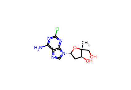 C[C@]1(CO)O[C@@H](n2cnc3c(N)nc(Cl)nc32)C[C@@H]1O